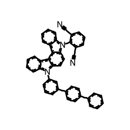 N#Cc1cccc(C#N)c1-n1c2ccccc2c2c3c4ccccc4n(-c4cccc(-c5ccc(-c6ccccc6)cc5)c4)c3ccc21